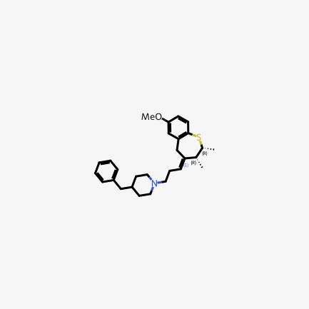 COc1ccc2c(c1)C/C(=C\CCN1CCC(Cc3ccccc3)CC1)[C@@H](C)[C@@H](C)S2